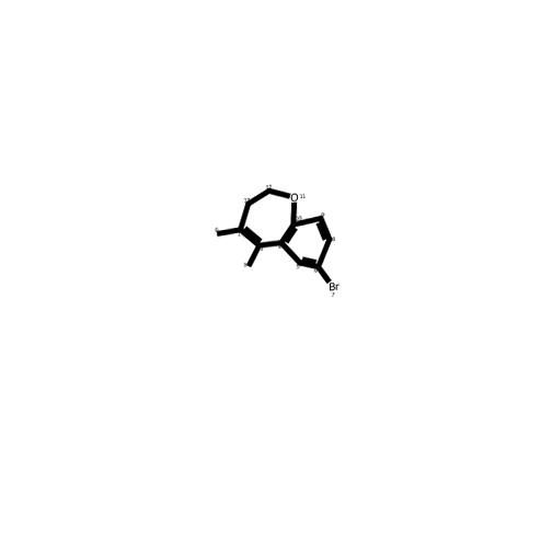 CC1=C(C)c2cc(Br)ccc2OCC1